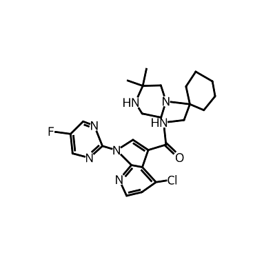 CC1(C)CN(C2(CNC(=O)c3cn(-c4ncc(F)cn4)c4nccc(Cl)c34)CCCCC2)CCN1